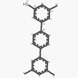 Cc1cc(C)cc(-c2ccc(-c3cc(C)cc(S)c3)cc2)c1